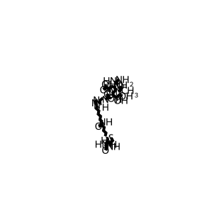 CC(=O)N[C@H]1[C@H]([C@H](OC(=O)NCc2cn(CCCCCNC(=O)CCCC[C@@H]3SC[C@@H]4NC(=O)N[C@@H]43)nn2)[C@H](O)CO)OC(C(=O)O)=C[C@@H]1NC(=N)N